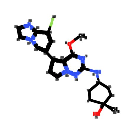 COc1nc(N[C@H]2CC[C@@](C)(O)CC2)nn2ccc(-c3cc(F)c4nccn4c3)c12